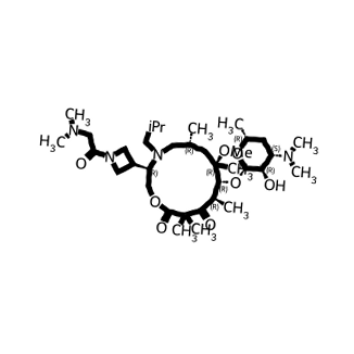 CO[C@]1(C)C[C@@H](C)CN(CC(C)C)[C@H](C2CN(C(=O)CN(C)C)C2)COC(=O)C(C)(C)C(=O)[C@H](C)[C@H]1O[C@@H]1O[C@H](C)C[C@H](N(C)C)[C@H]1O